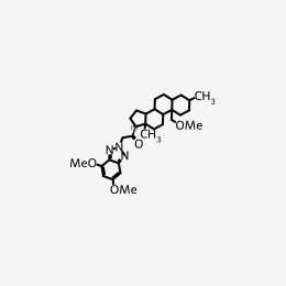 COCC12CCC(C)CC1CCC1C2CCC2(C)C1CC[C@@H]2C(=O)Cn1nc2cc(OC)cc(OC)c2n1